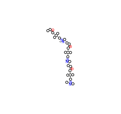 CCc1nc2c(-c3ccc4c(ccc5oc6cc(-c7c8ccccc8c(-c8ccc(-n9c(C)nc%10c(-c%11cccc%12c%11ccc%11oc%13cc(-c%14c%15ccccc%15c(-c%15ccc(-n%16c(-c%17ccccc%17)nc%17ccccc%17%16)cc%15)c%15ccccc%14%15)ccc%13c%11%12)cccc%109)cc8)c8ccccc78)ccc6c54)c3)cccc2n1-c1ccc(-c2c3ccccc3c(-c3ccc4c(c3)oc3ccc5ccccc5c34)c3ccccc23)cc1